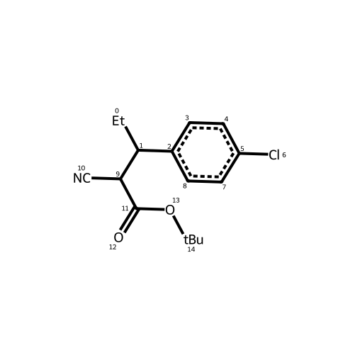 CCC(c1ccc(Cl)cc1)C(C#N)C(=O)OC(C)(C)C